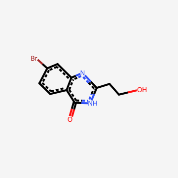 O=c1[nH]c(CCO)nc2cc(Br)ccc12